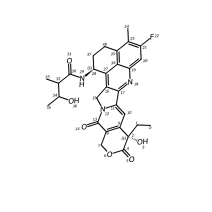 CC[C@@]1(O)C(=O)OCc2c1cc1n(c2=O)Cc2c-1nc1cc(F)c(C)c3c1c2[C@@H](NC(=O)C(C)C(C)O)CC3